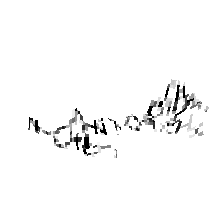 Cn1c(N2CCN(c3ccc(B4OC(C)(C)C(C)(C)O4)cc3)CC2)nc2cc(C#N)ccc21